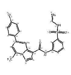 CC(C)(C)CNS(=O)(=O)c1cccc(NC(=O)c2cnn3c(C(F)(F)F)cc(-c4ccc(C(F)(F)F)cc4)nc23)c1